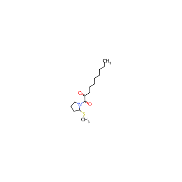 CCCCCCCCC(=O)C(=O)N1CCCC1SC